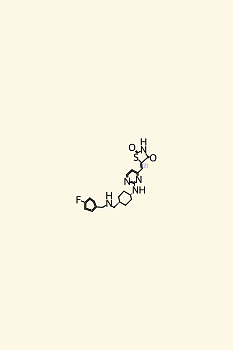 O=C1NC(=O)/C(=C/c2ccnc(N[C@H]3CC[C@H](CNCc4ccc(F)cc4)CC3)n2)S1